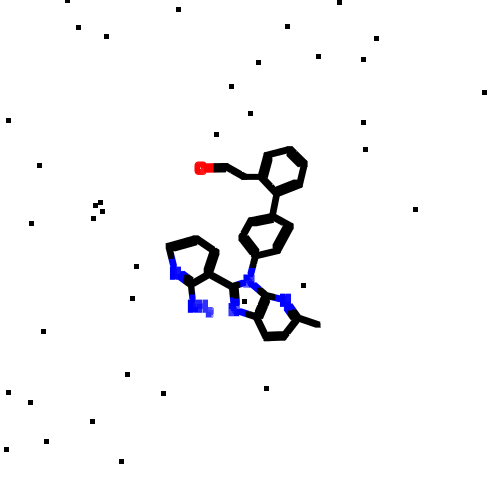 Cc1ccc2nc(-c3cccnc3N)n(-c3ccc(-c4ccccc4CC=O)cc3)c2n1